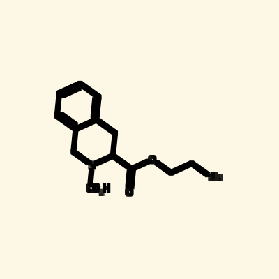 CC(C)(C)CCOC(=O)C1Cc2ccccc2CN1C(=O)O